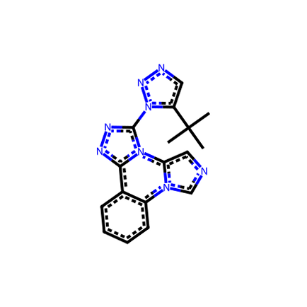 CC(C)(C)c1cnnn1-c1nnc2c3ccccc3n3cncc3n12